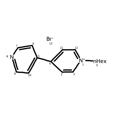 CCCCCC[n+]1ccc(-c2ccncc2)cc1.[Br-]